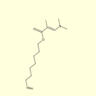 CCCCCCCCCCCCCCCCCOC(=O)C(C)=CN(C)C